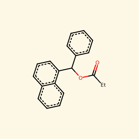 CCC(=O)OC(c1ccccc1)c1cccc2ccccc12